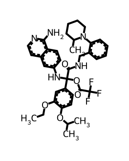 CCOc1cc(C(Nc2ccc3c(N)nccc3c2)(OC(=O)C(F)(F)F)C(=O)NCc2ccccc2N2CCCCC2C)ccc1OC(C)C